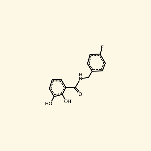 O=C(NCc1ccc(F)cc1)c1cccc(O)c1O